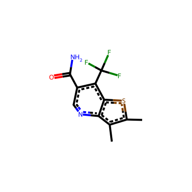 Cc1sc2c(C(F)(F)F)c(C(N)=O)cnc2c1C